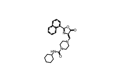 O=C1OC(c2cccc3ccccc23)=NC1=CN1CCN(C(=O)NC2CCCCC2)CC1